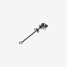 CCC=CCC=CCC=CCC=CCC=CCC=CCCC(=O)NCCNC(=O)Cc1ccccc1Nc1c(Cl)cccc1Cl